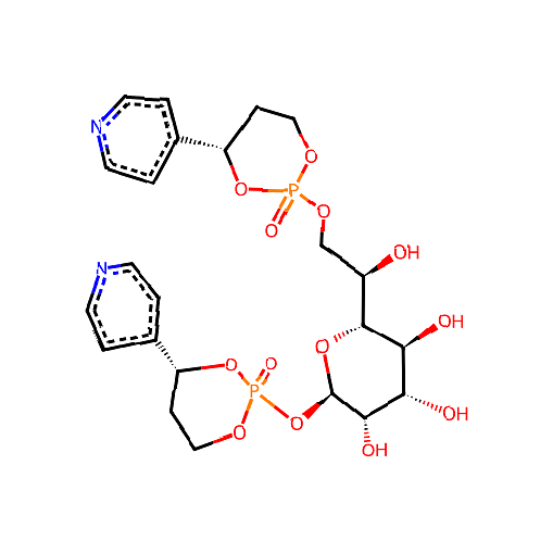 O=P1(OC[C@@H](O)[C@H]2O[C@H](OP3(=O)OCC[C@H](c4ccncc4)O3)[C@@H](O)[C@@H](O)[C@@H]2O)OCC[C@@H](c2ccncc2)O1